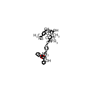 Cc1ncsc1-c1ccc([C@H](C)NC(=O)[C@@H]2C[C@@H](O)CN2C(=O)[C@@H](c2onc(OCCN3CCN(CCOc4cc(N5C6CCC5CN(c5cc(-c7ccccc7O)nnc5N)C6)ccn4)CC3)c2Cl)C(C)C)cc1